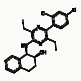 CCc1nc(-c2ccc(Cl)cc2Cl)c(CC)nc1N[C@@H]1c2ccccc2CC[C@@H]1O